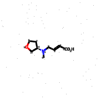 CN(C/C=C/C(=O)O)[C@H]1CCOC1